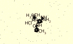 Cc1cccc(C(=O)NCc2ccc(C(=N)N)cc2NCC(=O)N(C)C)c1.Cl